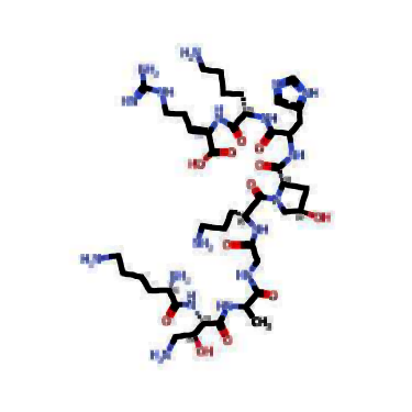 CC(NC(=O)[C@@H](NC(=O)[C@@H](N)CCCCN)[C@@H](O)CN)C(=O)NCC(=O)N[C@H](CCCN)C(=O)N1C[C@H](O)C[C@H]1C(=O)NC(Cc1cnc[nH]1)C(=O)N[C@@H](CCCCN)C(=O)N/C(=C\CCNC(=N)N)C(=O)O